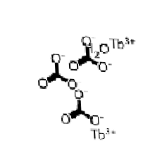 O.O=C([O-])[O-].O=C([O-])[O-].O=C([O-])[O-].[Tb+3].[Tb+3]